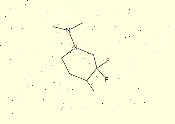 CC1CCN(N(C)C)CC1(F)F